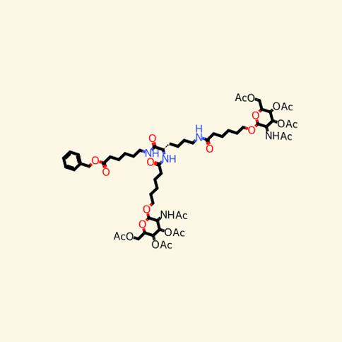 CC(=O)NC1C(OCCCCCC(=O)NCCCC[C@H](NC(=O)CCCCCOC2OC(COC(C)=O)C(OC(C)=O)C(OC(C)=O)C2NC(C)=O)C(=O)NCCCCCC(=O)OCc2ccccc2)OC(COC(C)=O)C(OC(C)=O)C1OC(C)=O